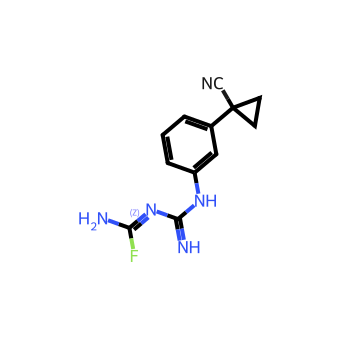 N#CC1(c2cccc(NC(=N)/N=C(/N)F)c2)CC1